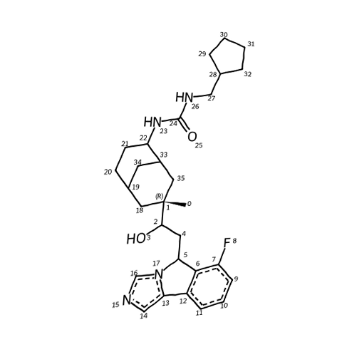 C[C@@]1(C(O)CC2c3c(F)cccc3-c3cncn32)CC2CCC(NC(=O)NCC3CCCC3)C(C2)C1